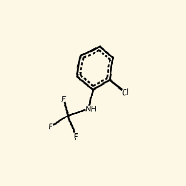 FC(F)(F)Nc1ccccc1Cl